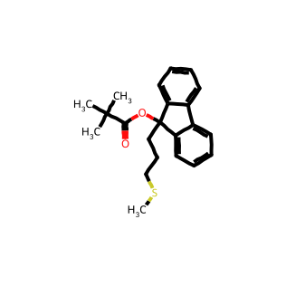 CSCCCC1(OC(=O)C(C)(C)C)c2ccccc2-c2ccccc21